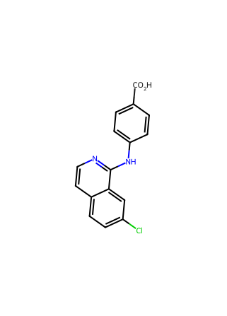 O=C(O)c1ccc(Nc2nccc3ccc(Cl)cc23)cc1